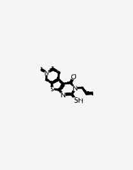 C=CCn1c(S)nc2sc3c(c2c1=O)CCN(C)C3